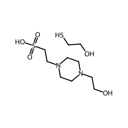 O=S(=O)(O)CCN1CCN(CCO)CC1.OCCS